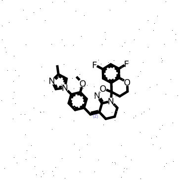 COc1cc(/C=C2/CCCN3C2=NOC32CCOc3c(F)cc(F)cc32)ccc1-n1cnc(C)c1